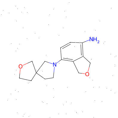 Nc1ccc(N2CCC3(CCOC3)C2)c2c1COC2